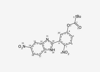 CC(C)(C)C(=O)Oc1ccc([N+](=O)[O-])c(-c2nc3cc([N+](=O)[O-])ccc3[nH]2)c1